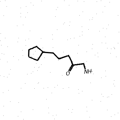 [NH]CC(=O)CCCC1CCCC1